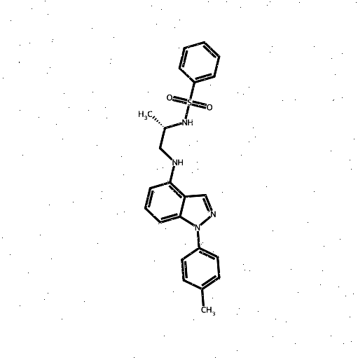 Cc1ccc(-n2ncc3c(NC[C@H](C)NS(=O)(=O)c4ccccc4)cccc32)cc1